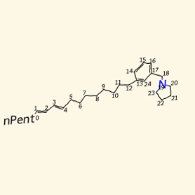 CCCCC/C=C/C=C/CCCCCCCCc1cccc(CN2CCCC2)c1